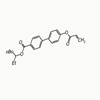 C=CC(=O)Oc1ccc(-c2ccc(C(=O)OC(CC)CCCC)cc2)cc1